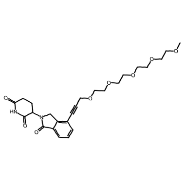 COCCOCCOCCOCCOCC#Cc1cccc2c1CN(C1CCC(=O)NC1=O)C2=O